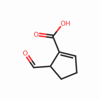 O=CC1CCC=C1C(=O)O